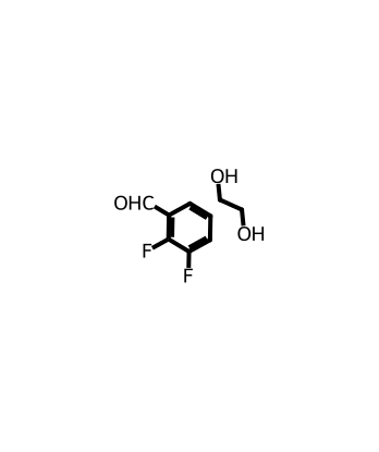 O=Cc1cccc(F)c1F.OCCO